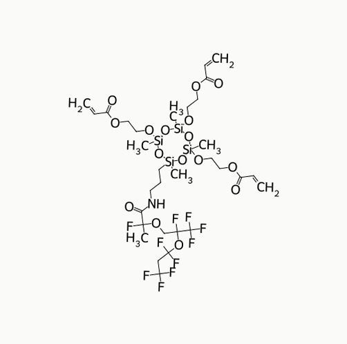 C=CC(=O)OCCO[Si]1(C)O[Si](C)(CCCNC(=O)C(C)(F)OCC(F)(OC(F)(F)CC(F)(F)F)C(F)(F)F)O[Si](C)(OCCOC(=O)C=C)O[Si](C)(OCCOC(=O)C=C)O1